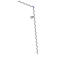 CCCCCCCCC/C=C\CCCCC(=O)CCCCCCCCCCCCCCCCCCCCC